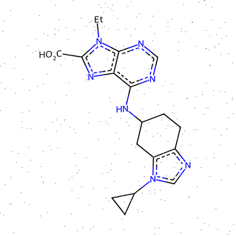 CCn1c(C(=O)O)nc2c(NC3CCc4ncn(C5CC5)c4C3)ncnc21